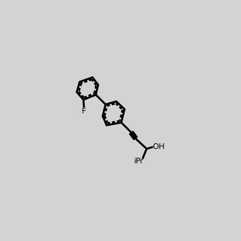 CC(C)C(O)C#Cc1ccc(-c2ccccc2F)cc1